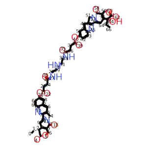 CC[C@H]1C(=O)OCc2c1cc1n(c2=O)Cc2cc3cc(OC(=O)CCC(=O)NCCNCCNC(=O)CCC(=O)Oc4ccc5nc6c(cc5c4)Cn4c-6cc5c(c4=O)COC(=O)[C@]5(O)CC)ccc3nc2-1